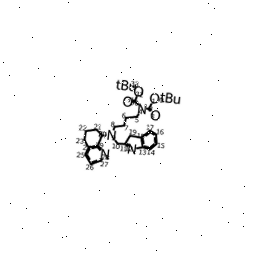 CC(C)(C)OC(=O)N(CCCCN(CC1=Nc2ccccc2C1)[C@H]1CCCc2cccnc21)C(=O)OC(C)(C)C